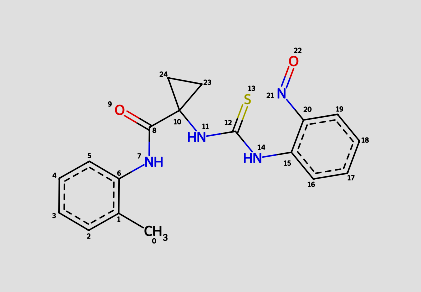 Cc1ccccc1NC(=O)C1(NC(=S)Nc2ccccc2N=O)CC1